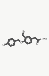 COC(=O)Cc1ccc(OCc2ccc(Cl)cc2)c(CBr)c1